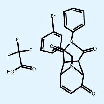 O=C(O)C(F)(F)F.O=C1C=CC2C3C(=O)N(c4ccccc4)C(=O)C3C1N2Cc1cccc(Br)c1